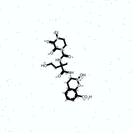 CCN1CCN(C(=O)NC(C)(CCO)C(=O)N[C@H]2Cc3cccc(C(=O)O)c3OB2O)C(=O)C1=O